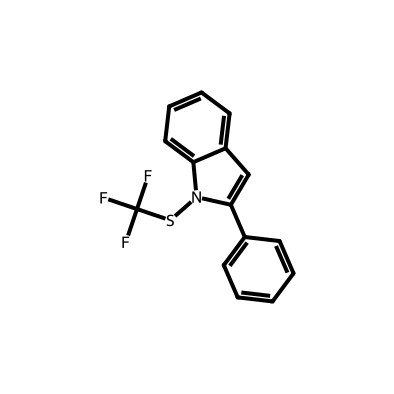 FC(F)(F)Sn1c(-c2ccccc2)cc2ccccc21